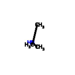 CCCCCCCCCCCCCCCCCCNC(C)CCCCC